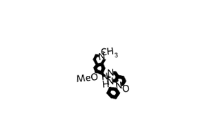 COc1cc2c(cc1Nc1ncc3ccc(=O)n(-c4ccccc4)c3n1)CN(C)CC2